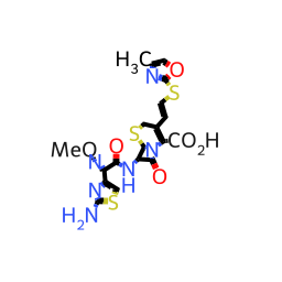 CO/N=C(\C(=O)NC1C(=O)N2C(C(=O)O)=C(/C=C/Sc3nc(C)co3)CSC12)c1csc(N)n1